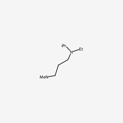 CCN(CCCNC)C(C)C